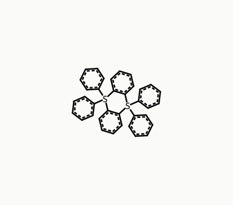 c1ccc(S2(c3ccccc3)c3ccccc3S(c3ccccc3)(c3ccccc3)c3ccccc32)cc1